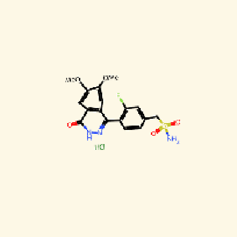 COc1cc2c(-c3ccc(CS(N)(=O)=O)cc3F)n[nH]c(=O)c2cc1OC.Cl